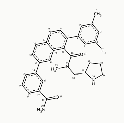 Cc1cc(F)cc(-c2cnc3ccc(-c4ccnc(C(N)=O)c4)cc3c2C(=O)N(C)C[C@@H]2CCCN2)c1